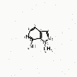 Cn1ncc2ccnc(S)c21